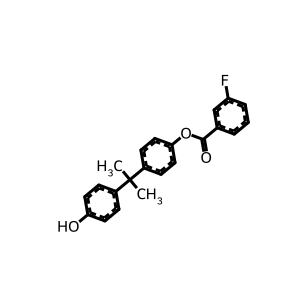 CC(C)(c1ccc(O)cc1)c1ccc(OC(=O)c2cccc(F)c2)cc1